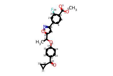 COC(=O)c1ccc(-c2cc(C(C)Oc3ccc(C(=O)C4CC4)cc3)on2)cc1F